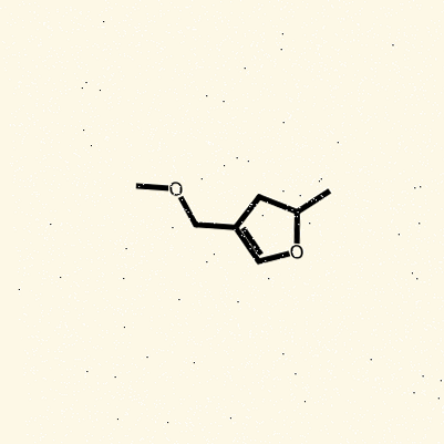 COCC1=COC(C)C1